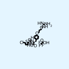 N=C(N)NOCCCOc1ccc(C[C@H](NS(=O)(=O)c2ccc(Cl)s2)C(=O)O)cc1.O=C(O)C(F)(F)F